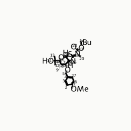 COc1ccc(CO[C@H]2[C@H](C)[C@@H](C(C)(C)O)O[C@@H]3SC(N(C)C(=O)OC(C)(C)C)=N[C@H]23)cc1